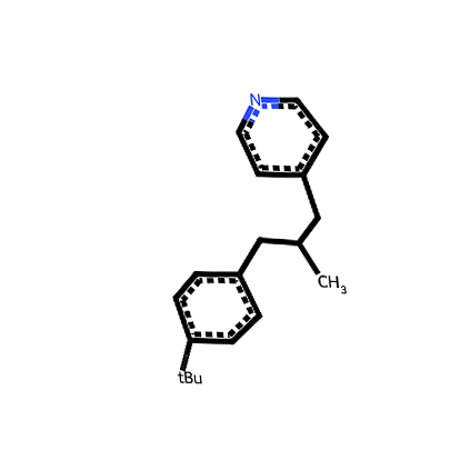 CC(Cc1ccncc1)Cc1ccc(C(C)(C)C)cc1